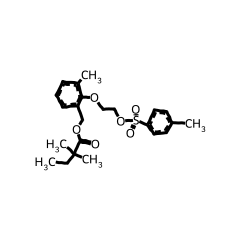 CCC(C)(C)C(=O)OCc1cccc(C)c1OCCOS(=O)(=O)c1ccc(C)cc1